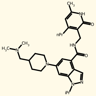 CCCc1cc(C)[nH]c(=O)c1CNC(=O)c1cc(N2CCC(CN(C)C)CC2)cc2c1cnn2C(C)C